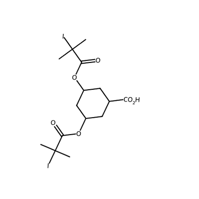 CC(C)(I)C(=O)OC1CC(OC(=O)C(C)(C)I)CC(C(=O)O)C1